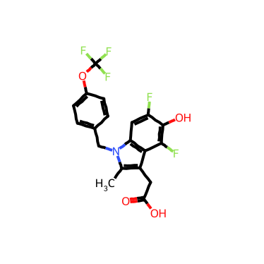 Cc1c(CC(=O)O)c2c(F)c(O)c(F)cc2n1Cc1ccc(OC(F)(F)F)cc1